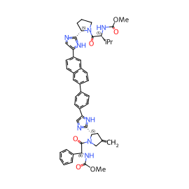 C=C1C[C@@H](c2ncc(-c3ccc(-c4ccc5cc(-c6cnc([C@@H]7CCCN7C(=O)[C@@H](NC(=O)OC)C(C)C)[nH]6)ccc5c4)cc3)[nH]2)N(C(=O)[C@H](NC(=O)OC)c2ccccc2)C1